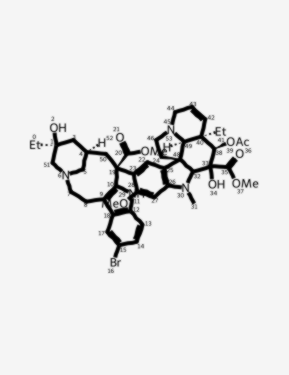 CC[C@]1(O)C[C@@H]2CN(CCc3c([nH]c4ccc(Br)cc34)[C@@](C(=O)OC)(c3cc4c(cc3OC)N(C)C3C(O)(C(=O)OC)[C@H](OC(C)=O)[C@]5(CC)C=CCN6CC[C@]43[C@@H]65)C2)C1